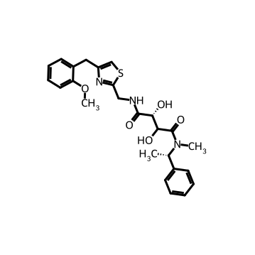 COc1ccccc1Cc1csc(CNC(=O)[C@H](O)C(O)C(=O)N(C)[C@@H](C)c2ccccc2)n1